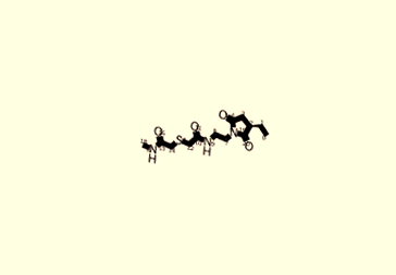 CC[C@@H]1CC(=O)N(CCNC(=O)CSCC(=O)NC)C1=O